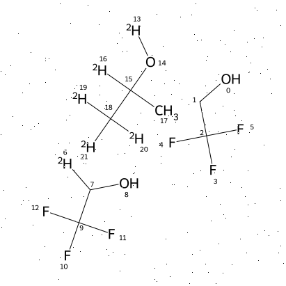 OCC(F)(F)F.[2H]C(O)C(F)(F)F.[2H]OC([2H])(C)C([2H])([2H])[2H]